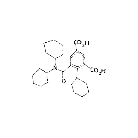 O=C(O)c1cc(C(=O)O)c(C2CCCCC2)c(C(=O)N(C2CCCCC2)C2CCCCC2)c1